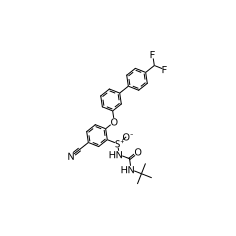 CC(C)(C)NC(=O)N[S+]([O-])c1cc(C#N)ccc1Oc1cccc(-c2ccc(C(F)F)cc2)c1